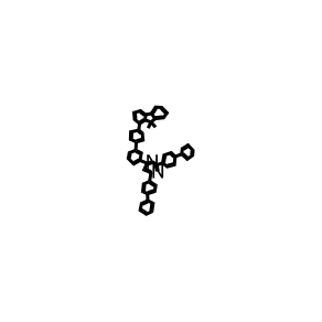 CC1(C)c2ccccc2-c2cccc(-c3ccc(-c4cccc(-c5cc(-c6ccc(-c7ccccc7)cc6)nc(-c6ccc(-c7ccccc7)cc6)n5)c4)cc3)c21